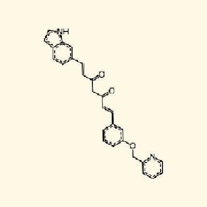 O=C(C=Cc1cccc(OCc2ccccn2)c1)CC(=O)C=Cc1ccc2cc[nH]c2c1